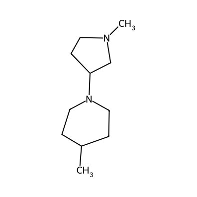 CC1CCN(C2CCN(C)C2)CC1